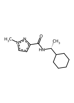 C[C@@H](NC(=O)c1ccn(C)n1)C1CCCCC1